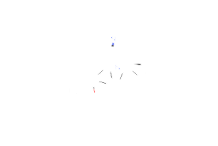 COC(=O)c1ccc2c(c1)c(CCC1CCOCC1)c(-c1ccsc1)n2CCC#N